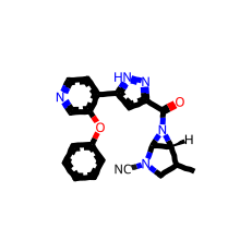 CC1CN(C#N)C2[C@@H]1N2C(=O)c1cc(-c2ccncc2Oc2ccccc2)[nH]n1